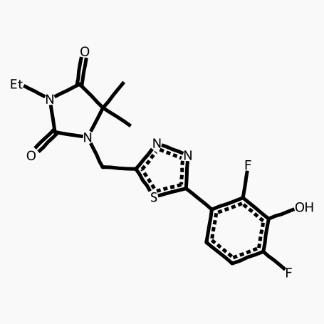 CCN1C(=O)N(Cc2nnc(-c3ccc(F)c(O)c3F)s2)C(C)(C)C1=O